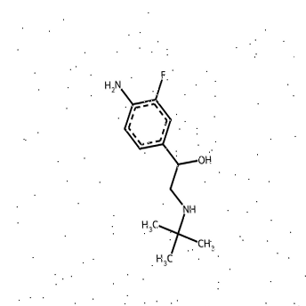 CC(C)(C)NCC(O)c1ccc(N)c(F)c1